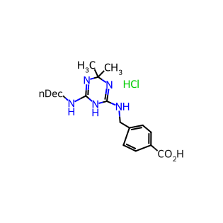 CCCCCCCCCCNC1=NC(C)(C)N=C(NCc2ccc(C(=O)O)cc2)N1.Cl